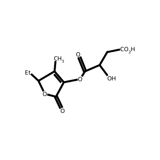 CCC1OC(=O)C(OC(=O)C(O)CC(=O)O)=C1C